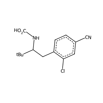 CC(C)(C)C(Cc1ccc(C#N)cc1Cl)NC(=O)O